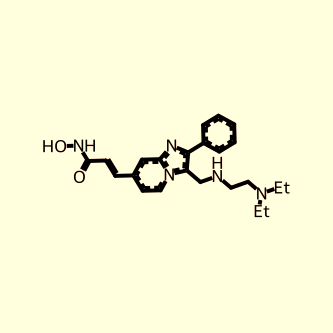 CCN(CC)CCNCc1c(-c2ccccc2)nc2cc(C=CC(=O)NO)ccn12